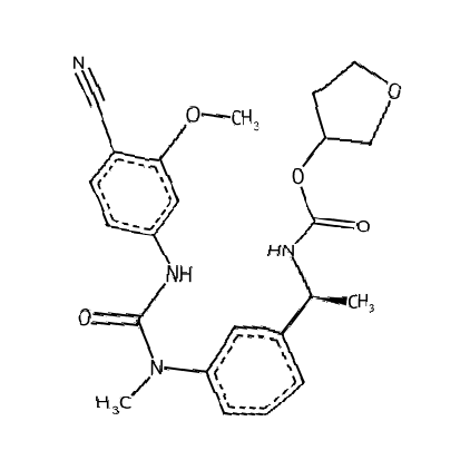 COc1cc(NC(=O)N(C)c2cccc([C@H](C)NC(=O)OC3CCOC3)c2)ccc1C#N